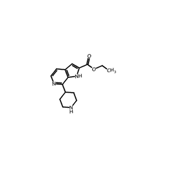 CCOC(=O)c1cc2ccnc(C3CCNCC3)c2[nH]1